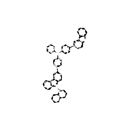 c1ccc(N(c2ccc(-c3ccc4oc5ccccc5c4c3)cc2)c2ccc(-c3ccc4c(c3)c3ccccc3n4-c3cccc4ccccc34)cc2)cc1